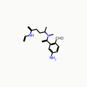 C=CNC(=C)CCC(C)N(C)C(=C)c1cc(N)ccc1C=O